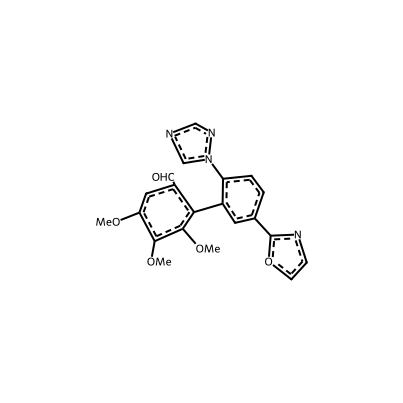 COc1cc(C=O)c(-c2cc(-c3ncco3)ccc2-n2cncn2)c(OC)c1OC